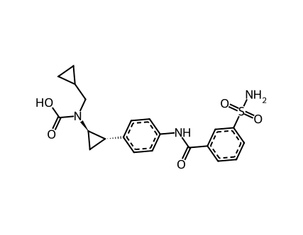 NS(=O)(=O)c1cccc(C(=O)Nc2ccc([C@@H]3C[C@H]3N(CC3CC3)C(=O)O)cc2)c1